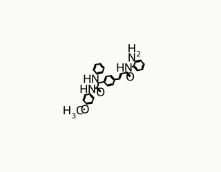 COc1ccc(NC(=O)C(Nc2ccccc2)c2ccc(/C=C/C(=O)Nc3ccccc3N)cc2)cc1